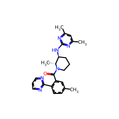 Cc1ccc(-c2ncccn2)c(C(=O)N2CCC[C@H](Nc3nc(C)cc(C)n3)[C@H]2C)c1